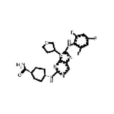 NC(=O)[C@H]1CC[C@H](Nc2ncc3nc(Nc4c(F)cc(F)cc4F)n(C4CCOC4)c3n2)CC1